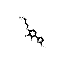 C=CCCOc1ccc(-c2ccc(C)s2)c(F)c1F